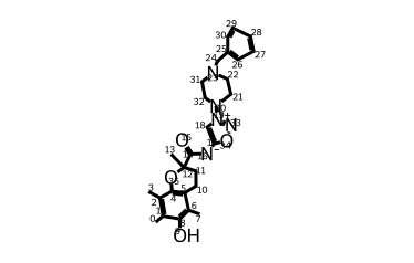 Cc1c(C)c2c(c(C)c1O)CCC(C)(C(=O)[N-]c1c[n+](N3CCN(Cc4ccccc4)CC3)no1)O2